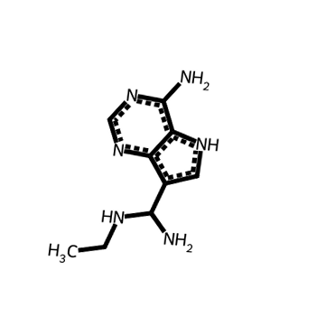 CCNC(N)c1c[nH]c2c(N)ncnc12